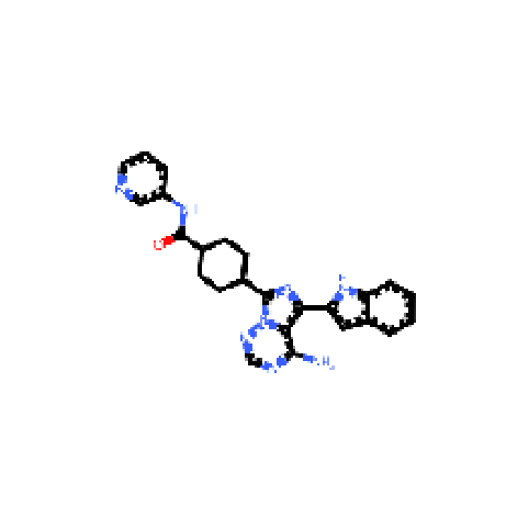 Nc1ncnn2c(C3CCC(C(=O)Nc4cccnc4)CC3)nc(-c3cc4ccccc4[nH]3)c12